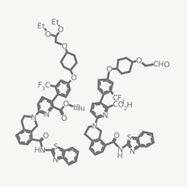 CCOC(COC1CCC(Oc2ccc(-c3ccc(N4CCc5cccc(C(=O)Nc6nc7ccccc7s6)c5C4)nc3C(=O)OC(C)(C)C)c(C(F)(F)F)c2)CC1)OCC.O=CCOC1CCC(Oc2ccc(-c3ccc(N4CCc5cccc(C(=O)Nc6nc7ccccc7s6)c5C4)nc3C(=O)O)c(C(F)(F)F)c2)CC1